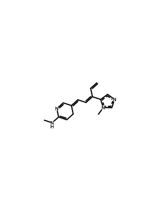 C=C/C(=C\C=C1\C=NC(NC)=CC1)c1cncn1C